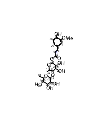 COc1cc(/C=C/C(=O)O[C@@H]2OC(C)[C@H](O[C@@H]3OC(C)[C@H](O)C(O)C3O)C(O)[C@@H]2O)ccc1O